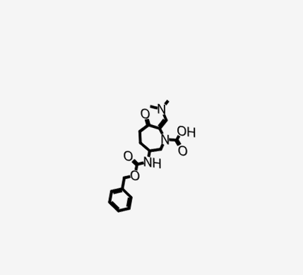 CN(C)C=C1C(=O)CCC(NC(=O)OCc2ccccc2)CN1C(=O)O